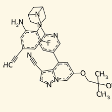 C#Cc1cc(N)c(CN2C3CC2CN(c2ccc(-c4cc(OCC(C)(C)O)cn5ncc(C#N)c45)cn2)C3)c(F)c1